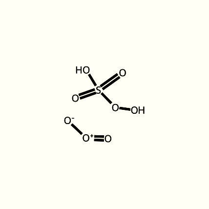 O=S(=O)(O)OO.O=[O+][O-]